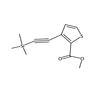 COC(=O)c1sccc1C#C[Si](C)(C)C